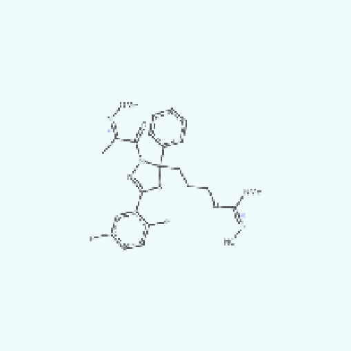 CN/C(=N/C#N)NCCCC1(c2ccccc2)SC(c2cc(F)ccc2F)=NN1C(=O)/C(C)=N\OC